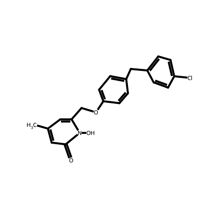 Cc1cc(COc2ccc(Cc3ccc(Cl)cc3)cc2)n(O)c(=O)c1